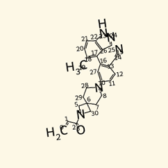 C=CC(=O)N1CC2(CCN(c3ccc(C#N)c(-c4c(C)ccc5[nH]ncc45)c3)CC2)C1